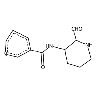 O=CC1NCCCC1NC(=O)c1cccnc1